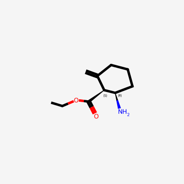 C=C1CCC[C@@H](N)[C@H]1C(=O)OCC